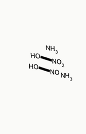 N.N.O=NO.O=[N+]([O-])O